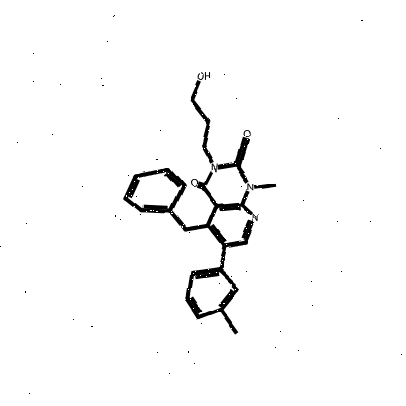 Cc1cccc(-c2cnc3c(c2Cc2ccccc2)c(=O)n(CCCO)c(=O)n3C)c1